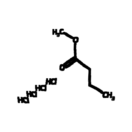 CCCC(=O)OC.Cl.Cl.Cl.Cl